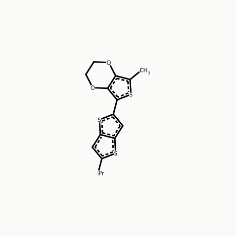 Cc1sc(-c2cc3sc(C(C)C)cc3s2)c2c1OCCO2